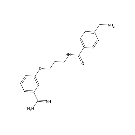 N=C(N)c1cccc(OCCCNC(=O)c2ccc(CN)cc2)c1